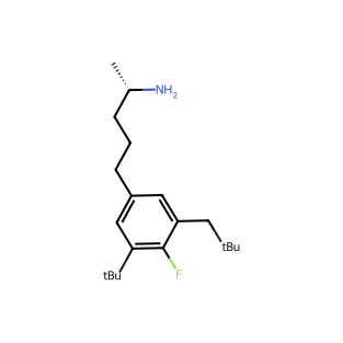 C[C@H](N)CCCc1cc(CC(C)(C)C)c(F)c(C(C)(C)C)c1